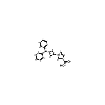 O=C(O)c1cnn(C2CN(C(c3ccccc3)c3ccccc3)C2)c1